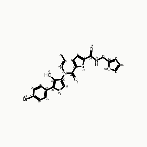 CC=NN(C(=O)c1ccc(C(=O)NCc2ccco2)s1)c1csc(-c2ccc(Br)cc2)c1O